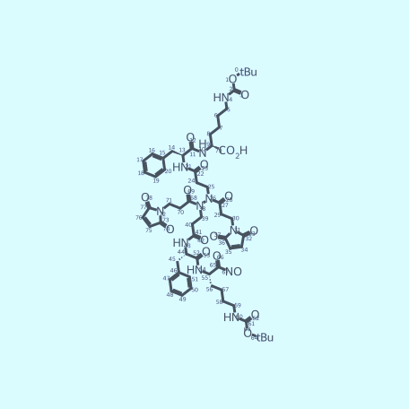 CC(C)(C)OC(=O)NCCCC[C@H](NC(=O)[C@H](Cc1ccccc1)NC(=O)CCN(C(=O)CCN1C(=O)C=CC1=O)N(CCC(=O)N[C@@H](Cc1ccccc1)C(=O)N[C@@H](CCCCNC(=O)OC(C)(C)C)C(=O)N=O)C(=O)CCN1C(=O)C=CC1=O)C(=O)O